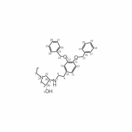 CCN1C[C@@H](O)[C@H](NCCc2ccc(OCc3ccccc3)c(OCc3ccccc3)c2)C1